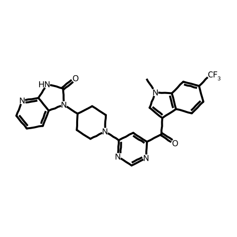 Cn1cc(C(=O)c2cc(N3CCC(n4c(=O)[nH]c5ncccc54)CC3)ncn2)c2ccc(C(F)(F)F)cc21